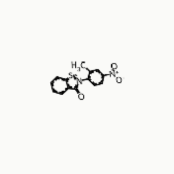 Cc1cc([N+](=O)[O-])ccc1-n1[se]c2ccccc2c1=O